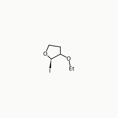 CCOC1CCO[C@@H]1I